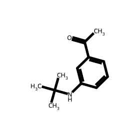 CC(=O)c1cccc(NC(C)(C)C)c1